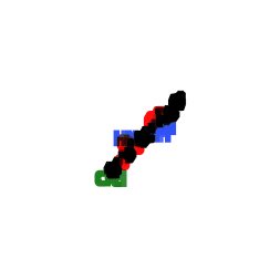 COC(=O)[C@H](Cc1ccc(-c2ccc(C)cc2)cc1)NC(=O)C1Cc2cc3c(cc2CN1)O[C@@H](c1ccc(OCc2ccc(Cl)c(Cl)c2)cc1)C(=O)N3